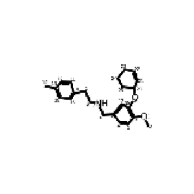 COc1ccc(CNCCc2ccc(C)cc2)cc1OC1C=CCCC1